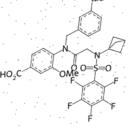 COc1cc(C(=O)O)ccc1N(Cc1cccc(C(C)(C)C)c1)C(=O)CN(C12CC(C1)C2)S(=O)(=O)c1c(F)c(F)c(F)c(F)c1F